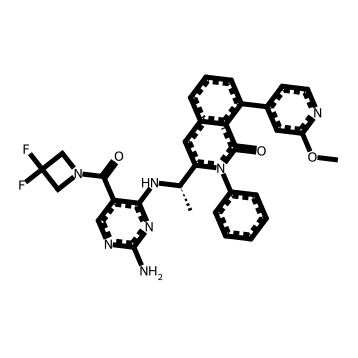 COc1cc(-c2cccc3cc([C@H](C)Nc4nc(N)ncc4C(=O)N4CC(F)(F)C4)n(-c4ccccc4)c(=O)c23)ccn1